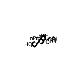 CCC[C@H]1[C@@H]2[C@@H]3C[C@@H]3[C@H](C(=O)Cn3cnnn3)[C@@]2(C)CC[C@@H]1[C@H]1CC[C@@](C)(O)CC1